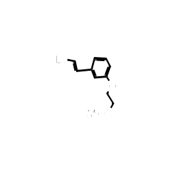 [CH2]CC=Cc1cccc(OCCOC)c1